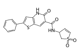 O=C(NC1C=CS(=O)(=O)C1)c1cc2sc(-c3ccccc3)cc2[nH]c1=O